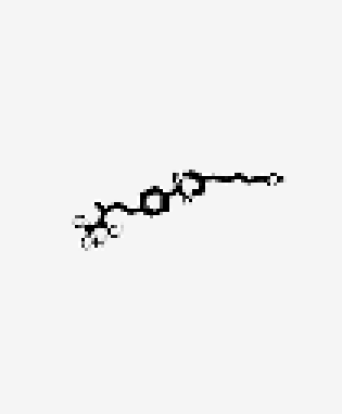 CCCCCCCc1cnc(-c2ccc(CCC(C)C(Cl)C(=O)O)cc2)nc1